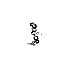 Cn1c(N2CCC3(CCC[C@H]3N[S@+]([O-])C(C)(C)C)CC2)ncc(Sc2cccn3nccc23)c1=O